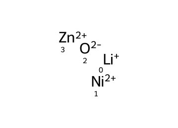 [Li+].[Ni+2].[O-2].[Zn+2]